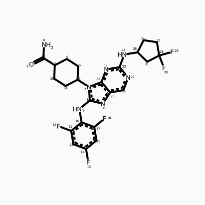 NC(=O)C1CCC(n2c(Nc3c(F)cc(F)cc3F)nc3cnc(NC4CCC(F)(F)C4)nc32)CC1